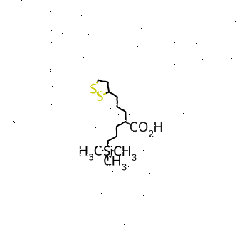 C[Si](C)(C)CCCC(CCCC1CCSS1)C(=O)O